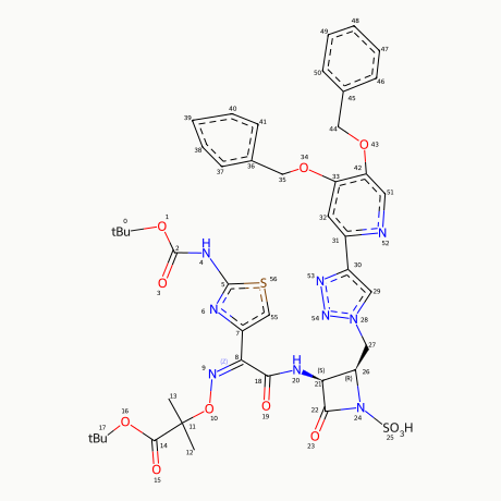 CC(C)(C)OC(=O)Nc1nc(/C(=N/OC(C)(C)C(=O)OC(C)(C)C)C(=O)N[C@@H]2C(=O)N(S(=O)(=O)O)[C@@H]2Cn2cc(-c3cc(OCc4ccccc4)c(OCc4ccccc4)cn3)nn2)cs1